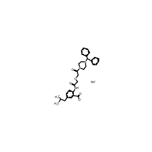 CC(C)Cc1ccc(NC(=O)COCC(=O)N2CCN(C(c3ccccc3)c3ccccc3)CC2)c(C(=O)[O-])c1.[Na+]